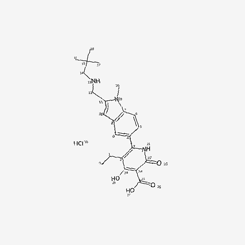 CCc1c(-c2ccc3c(c2)cc(CNCC(C)(C)C)n3C)[nH]c(=O)c(C(=O)O)c1O.Cl